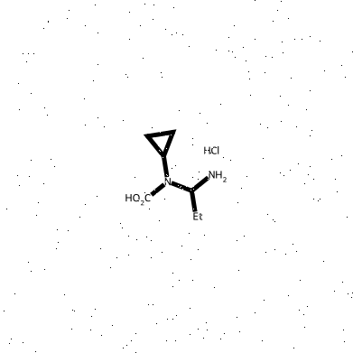 CCC(N)N(C(=O)O)C1CC1.Cl